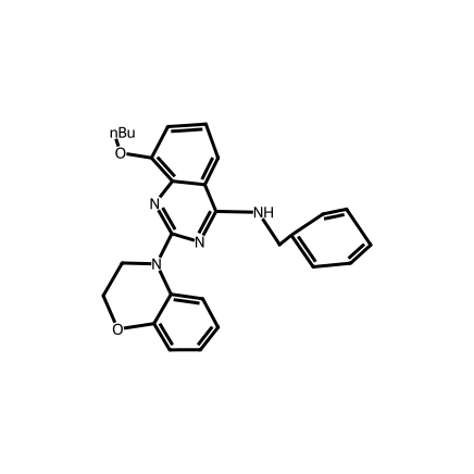 CCCCOc1cccc2c(NCc3ccccc3)nc(N3CCOc4ccccc43)nc12